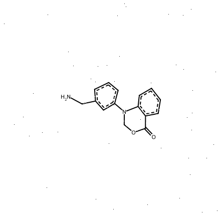 NCc1cccc(N2COC(=O)c3ccccc32)c1